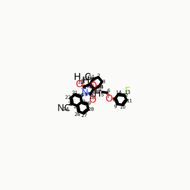 C[C@]12CC[C@](CCOc3cccc(F)c3)(O1)[C@@H]1C(=O)N(c3ccc(C#N)c4ccccc34)C(=O)[C@@H]12